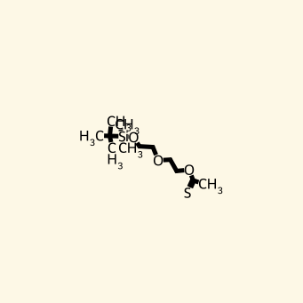 CC(=S)OCCOCCO[Si](C)(C)C(C)(C)C